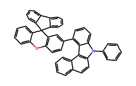 c1ccc(-n2c3cccc(-c4ccc5c(c4)C4(c6ccccc6O5)c5ccccc5-c5ccccc54)c3c3c4ccccc4ccc32)cc1